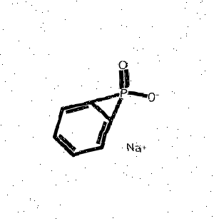 O=P1([O-])c2ccccc21.[Na+]